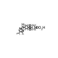 C=Cc1cnc(Nc2ccc(S(=O)(=O)C3CCN(C(=O)O)CC3)cc2)nc1C